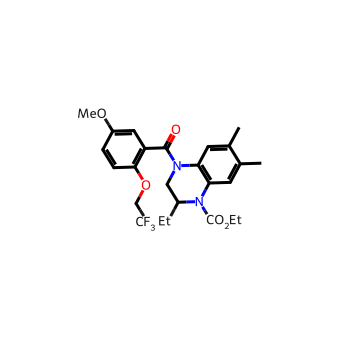 CCOC(=O)N1c2cc(C)c(C)cc2N(C(=O)c2cc(OC)ccc2OCC(F)(F)F)CC1CC